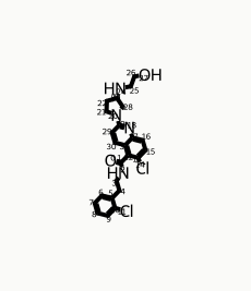 O=C(NCCc1ccccc1Cl)c1c(Cl)ccc2nc(N3CC[C@H](NCCO)C3)ccc12